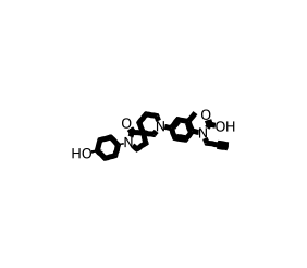 C#CCN(C(=O)O)c1ccc(N2CCCC3(CCN([C@H]4CC[C@H](O)CC4)C3=O)C2)cc1C